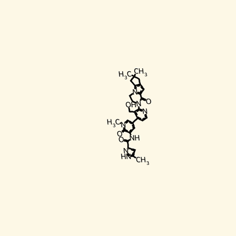 Cc1cc(C(=O)Nc2cc(-c3ccnc(N4CCn5c(cc6c5CC(C)(C)C6)C4=O)c3CO)cn(C)c2=O)n[nH]1